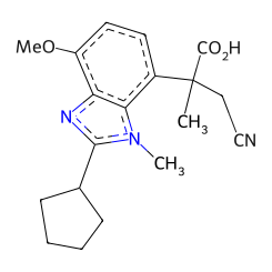 COc1ccc(C(C)(CC#N)C(=O)O)c2c1nc(C1CCCC1)n2C